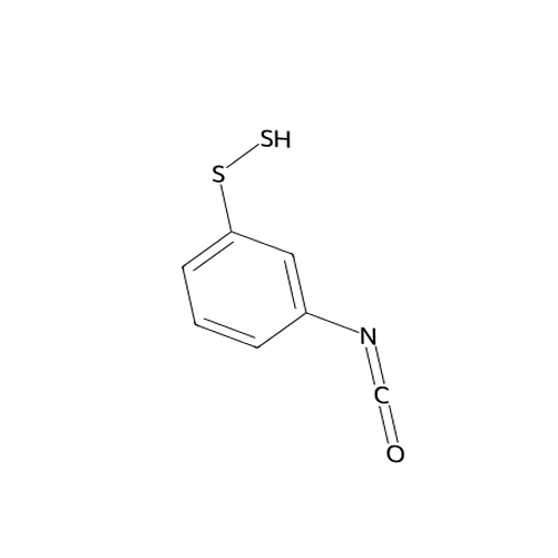 O=C=Nc1cccc(SS)c1